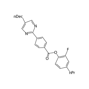 CCCCCCCCCCc1cnc(-c2ccc(C(=O)Oc3ccc(CCC)cc3F)cc2)nc1